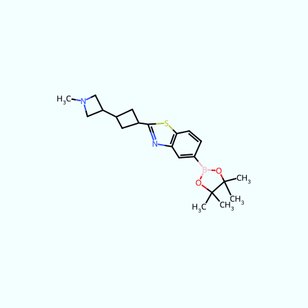 CN1CC(C2CC(c3nc4cc(B5OC(C)(C)C(C)(C)O5)ccc4s3)C2)C1